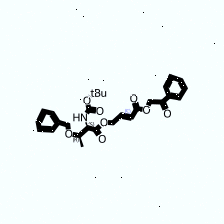 C[C@@H](OCc1ccccc1)[C@H](NC(=O)OC(C)(C)C)C(=O)OC/C=C/C(=O)OCC(=O)c1ccccc1